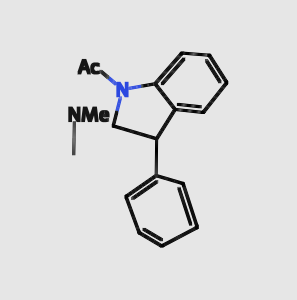 CC(=O)N1CC(c2ccccc2)c2ccccc21.CNC